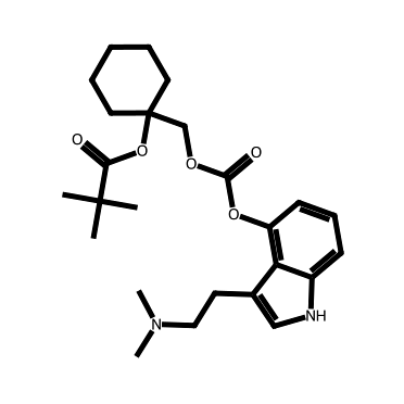 CN(C)CCc1c[nH]c2cccc(OC(=O)OCC3(OC(=O)C(C)(C)C)CCCCC3)c12